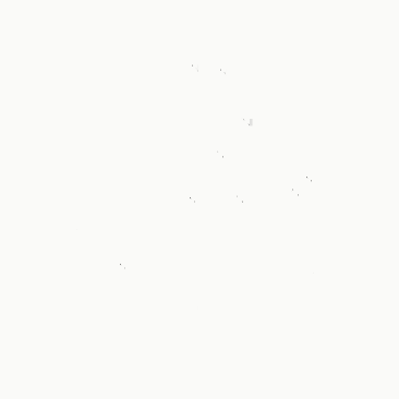 Cc1cc(Nc2nc(NCc3ccc(Cl)c(NC4CCS(=O)(=O)CC4)c3)nc3c2cnn3C2CCOCC2)n[nH]1